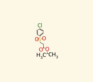 CC(C)OC(=O)CCS(=O)(=O)c1ccc(Cl)cc1